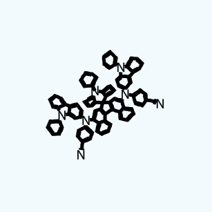 N#Cc1ccc(N(c2ccc3c(c2)c2ccccc2n3-c2ccccc2)c2cc3c(c4ccccc24)-c2c(cc(N(c4ccc(C#N)cc4)c4ccc5c6ccccc6n(-c6ccccc6)c5c4)c4ccccc24)C32c3ccccc3N(c3ccccc3)c3ccccc32)cc1